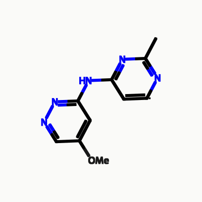 COc1cnnc(Nc2c[c]nc(C)n2)c1